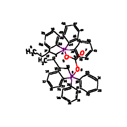 CCCCP(OC(=O)OP(CCCC)(c1ccccc1)(c1ccccc1)c1ccccc1)(c1ccccc1)(c1ccccc1)c1ccccc1